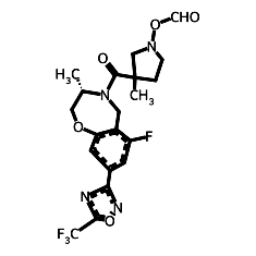 C[C@H]1COc2cc(-c3noc(C(F)(F)F)n3)cc(F)c2CN1C(=O)C1(C)CCN(OC=O)C1